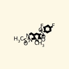 Cn1c(=O)c(S(=O)(=O)c2ccc(F)cc2F)cc2cnc([S+](C)[O-])nc21